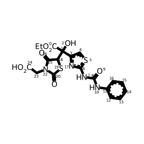 CCOC(=O)C(O)(c1csc(NC(=O)Nc2ccccc2)n1)C1SC(=O)N(CC(=O)O)C1=O